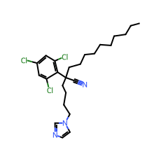 CCCCCCCCCCC(C#N)(CCCCn1ccnc1)c1c(Cl)cc(Cl)cc1Cl